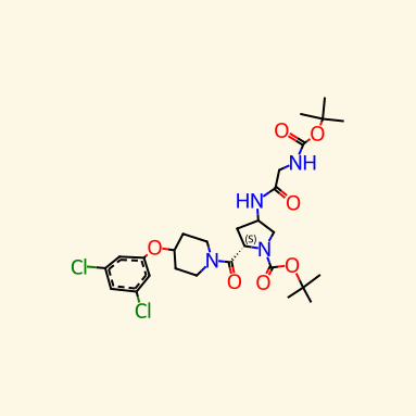 CC(C)(C)OC(=O)NCC(=O)NC1C[C@@H](C(=O)N2CCC(Oc3cc(Cl)cc(Cl)c3)CC2)N(C(=O)OC(C)(C)C)C1